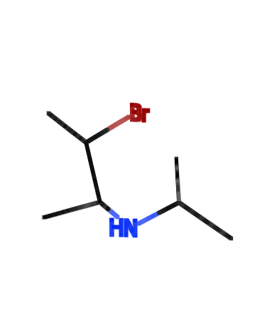 CC(C)NC(C)C(C)Br